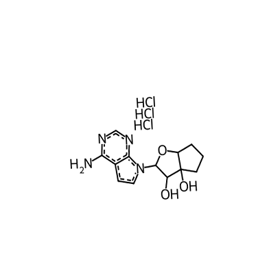 Cl.Cl.Cl.Nc1ncnc2c1ccn2C1OC2CCCC2(O)C1O